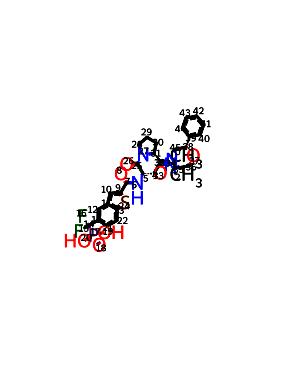 CN(C)CC[C@H](NC(=O)c1cc2cc(C(F)(F)P(=O)(O)O)ccc2s1)C(=O)N1CCC[C@H]1C(=O)N1CCO[C@H](c2ccccc2)C1